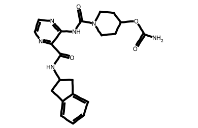 NC(=O)OC1CCN(C(=O)Nc2nccnc2C(=O)NC2Cc3ccccc3C2)CC1